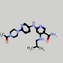 CC(=O)N1CCN(c2ccc(Nc3cc(NCC(C)C)c(C(N)=O)cn3)cn2)CC1